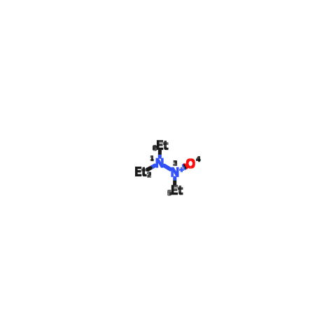 CCN(CC)[N+](=O)CC